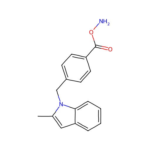 Cc1cc2ccccc2n1Cc1ccc(C(=O)ON)cc1